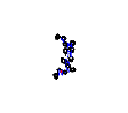 C1=CC(c2cccc(-n3c4ccccc4c4cc5c(cc43)c3ccccc3n5-c3cccc(-n4c5ccccc5c5c4ccc4c6ccccc6n(-c6cccc(-c7cccc(-c8ccccc8)n7)c6)c45)c3)c2)=NC(c2ccccc2)C1